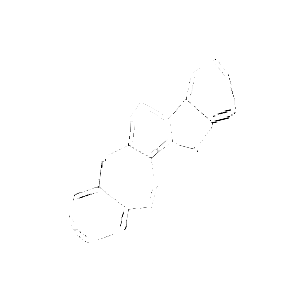 C1=Cc2c(ccc3c2[nH]c2ccccc23)Sc2ccccc21